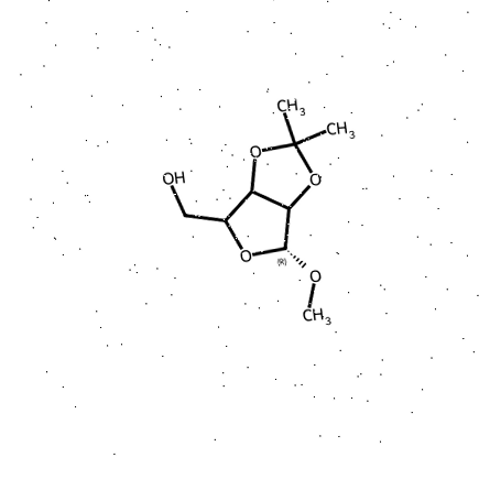 CO[C@@H]1OC(CO)C2OC(C)(C)OC21